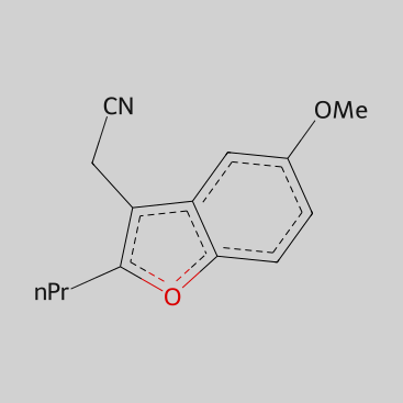 CCCc1oc2ccc(OC)cc2c1CC#N